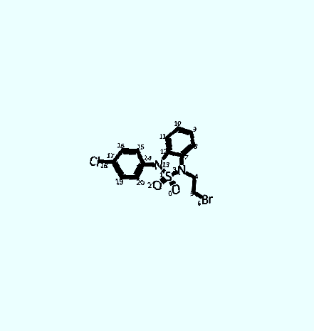 O=S1(=O)N(CCBr)c2ccccc2N1c1ccc(Cl)cc1